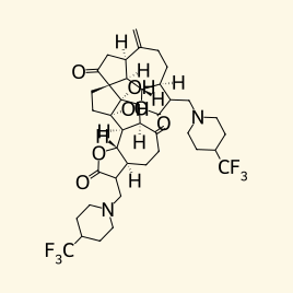 C=C1CC[C@H]2C(CN3CCC(C(F)(F)F)CC3)C(=O)O[C@@H]2[C@@H]2[C@H]1C[C@@]1(O)[C@]2(O)CC[C@]12C(=O)C[C@H]1C(=C)CC[C@H]3C(CN4CCC(C(F)(F)F)CC4)C(=O)O[C@@H]3[C@H]12